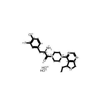 CCC1SCc2ncnc(N3CCN(C(=O)[C@H](N)Cc4ccc(Cl)c(F)c4)CC3)c21.Cl.Cl